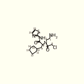 NCCN(C(=O)CCl)C(CC1CCCCC1)C(=O)Nc1nccs1